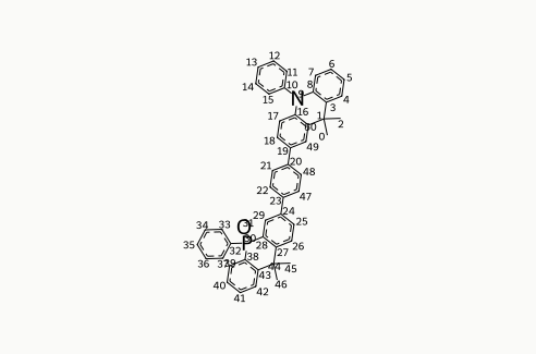 CC1(C)c2ccccc2N(c2ccccc2)c2ccc(-c3ccc(-c4ccc5c(c4)P(=O)(c4ccccc4)c4ccccc4C5(C)C)cc3)cc21